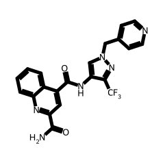 NC(=O)c1cc(C(=O)Nc2cn(Cc3ccncc3)nc2C(F)(F)F)c2ccccc2n1